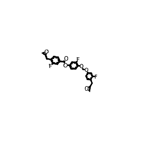 O=C(Oc1ccc(OCOc2ccc(CC3CO3)c(F)c2)c(F)c1)c1ccc(CC2CO2)c(F)c1